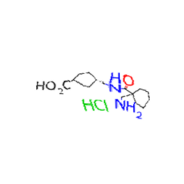 Cl.NCC1(C(=O)NC[C@H]2CC[C@H](C(=O)O)CC2)CCCCC1